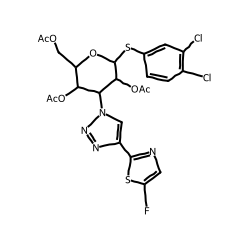 CC(=O)OCC1OC(Sc2ccc(Cl)c(Cl)c2)C(OC(C)=O)C(n2cc(-c3ncc(F)s3)nn2)C1OC(C)=O